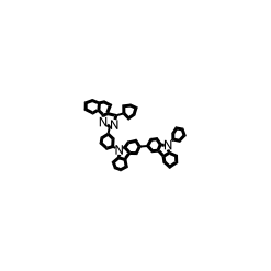 c1ccc(-c2nc(-c3cccc(-n4c5ccccc5c5cc(-c6ccc7c(c6)c6ccccc6n7-c6ccccc6)ccc54)c3)nc3c2ccc2ccccc23)cc1